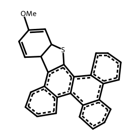 COC1=CC2Sc3c(c4ccccc4c4c5ccccc5c5ccccc5c34)C2C=C1